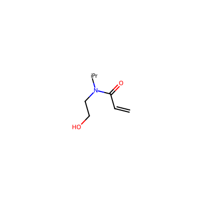 C=CC(=O)N(CCO)C(C)C